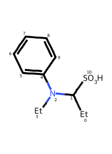 CCC(N(CC)c1ccccc1)S(=O)(=O)O